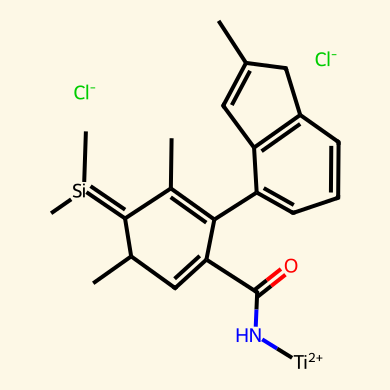 CC1=Cc2c(cccc2C2=C(C)C(=[Si](C)C)C(C)C=C2C(=O)[NH][Ti+2])C1.[Cl-].[Cl-]